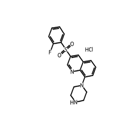 Cl.O=S(=O)(c1cnc2c(N3CCNCC3)cccc2c1)c1ccccc1F